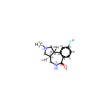 CN1C[C@@H]2CNC(=O)c3ccc(F)cc3[C@H]2C1